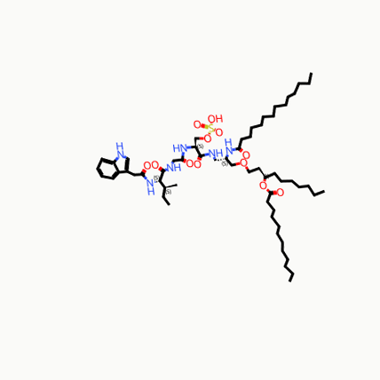 CCCCCCCCCCCCCC(=O)N[C@@H](CNC(=O)[C@H](COS(=O)(=O)O)NC(=O)CNC(=O)[C@@H](NC(=O)Cc1c[nH]c2ccccc12)[C@@H](C)CC)COCC[C@@H](CCCCCCC)OC(=O)CCCCCCCCCCC